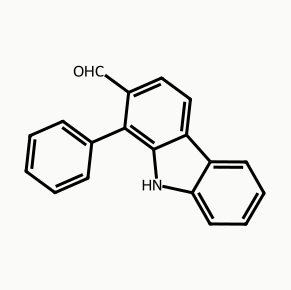 O=Cc1ccc2c([nH]c3ccccc32)c1-c1ccccc1